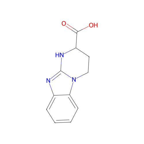 O=C(O)C1CCn2c(nc3ccccc32)N1